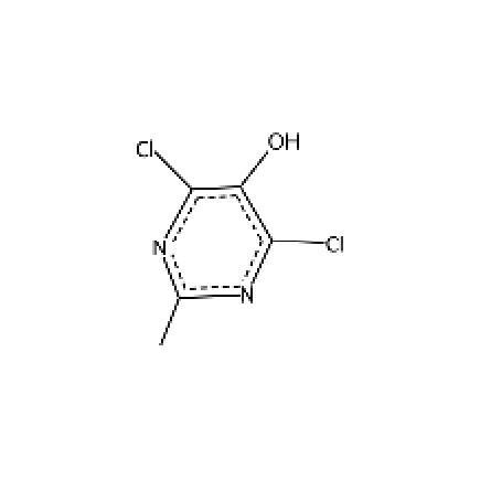 Cc1nc(Cl)c(O)c(Cl)n1